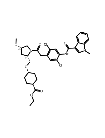 CCOC(=O)[C@H]1CC[C@H](OC[C@@H]2C[C@H](OC)CN2C(=O)Cc2cc(Cl)c(NC(=O)c3cn(C)c4ccccc34)cc2Cl)CC1